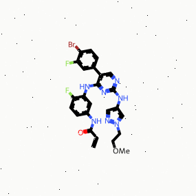 C=CC(=O)Nc1ccc(F)c(Nc2nc(Nc3cnn(CCOC)c3)ncc2-c2ccc(Br)c(F)c2)c1